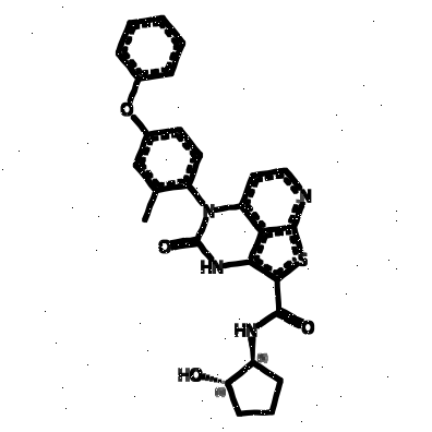 Cc1cc(Oc2ccccc2)ccc1N1C(=O)Nc2c(C(=O)N[C@H]3CCC[C@@H]3O)sc3nccc1c23